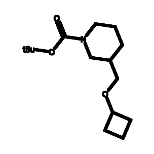 CC(C)(C)OC(=O)N1CCCC(COC2CCC2)C1